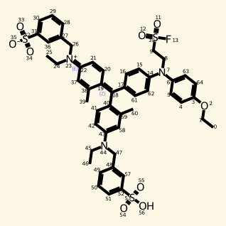 CCOc1ccc(N(CCS(=O)(=O)F)c2ccc(/C(=C3C=C/C(=[N+](/CC)Cc4cccc(S(=O)(=O)[O-])c4)C=C\3C)c3ccc(N(CC)Cc4cccc(S(=O)(=O)O)c4)cc3C)cc2)cc1